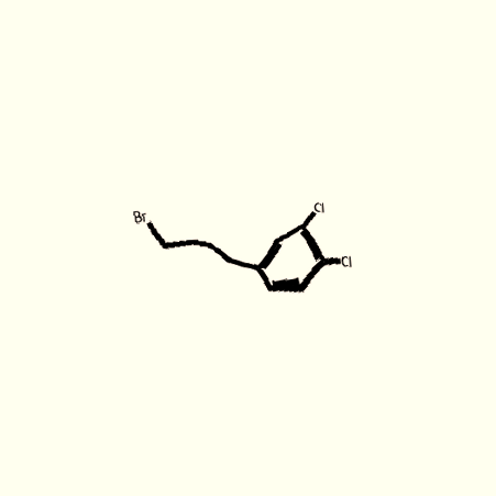 Clc1ccc(CCCBr)cc1Cl